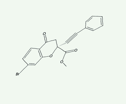 COC(=O)[C@]1(C#Cc2ccccc2)CC(=O)c2ccc(Br)cc2O1